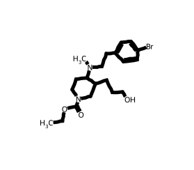 CCOC(=O)N1CCC(N(C)CCc2ccc(Br)cc2)C(CCCO)C1